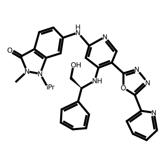 CC(C)n1c2cc(Nc3cc(N[C@H](CO)c4ccccc4)c(-c4nnc(-c5ccccn5)o4)cn3)ccc2c(=O)n1C